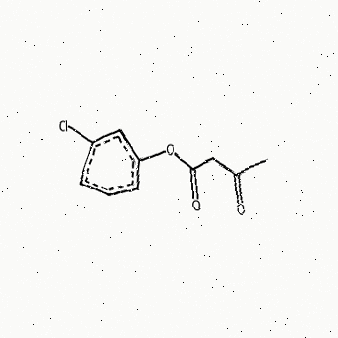 CC(=O)CC(=O)Oc1cccc(Cl)c1